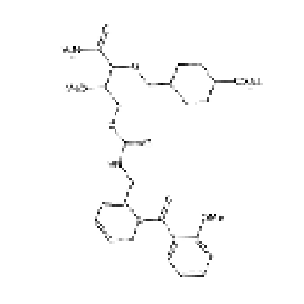 CCOC(=O)C1CCC(COC(C(N)=O)C(COC(=O)NCC2=CC=CCN2C(=O)c2ccccc2OC)OC)CC1